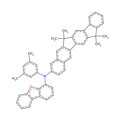 Cc1cc(C)cc(N(c2ccc3cc4c(cc3c2)C(C)(C)c2cc3c(cc2-4)C(C)(C)c2ccccc2-3)c2cccc3c2oc2ccccc23)c1